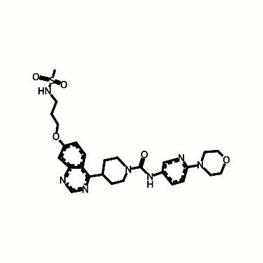 CS(=O)(=O)NCCCOc1ccc2c(C3CCN(C(=O)Nc4ccc(N5CCOCC5)nc4)CC3)ncnc2c1